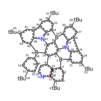 CC(C)(C)c1ccc(B2c3c(-c4ccncc4)c4c5c6c3-n3c7c2cc(C(C)(C)C)cc7c2cc(C(C)(C)C)cc(c23)B6c2cc(C(C)(C)C)cc3c6cc(C(C)(C)C)cc(c6n-5c23)B4c2ccc(C(C)(C)C)cc2)cc1